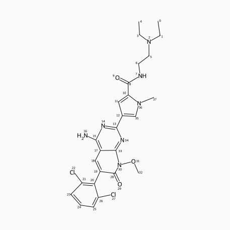 CCN(CC)CCNC(=O)c1cc(-c2nc(N)c3cc(-c4c(Cl)cccc4Cl)c(=O)n(OC)c3n2)cn1C